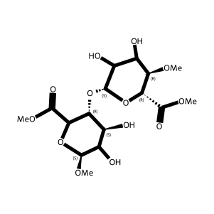 COC(=O)C1O[C@H](OC)C(O)[C@H](O)[C@H]1O[C@H]1O[C@@H](C(=O)OC)[C@H](OC)C(O)C1O